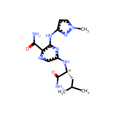 CC(C)C[C@@H](Nc1cnc(C(N)=O)c(Nc2ccn(C)n2)n1)C(N)=O